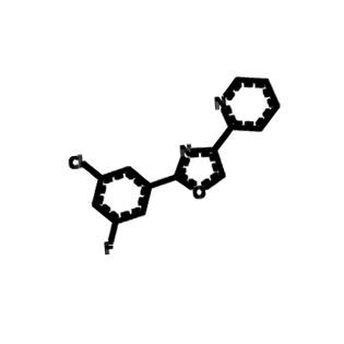 Fc1cc(Cl)cc(-c2nc(-c3ccccn3)co2)c1